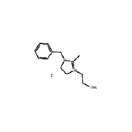 CCCCCCCCCCCC[N+]1=C(C)N(Cc2ccccc2)CC1.[Cl-]